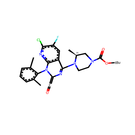 Cc1cccc(C)c1N1C(=C=O)N=C(N2CCN(C(=O)OC(C)(C)C)C[C@@H]2C)c2cc(F)c(Cl)nc21